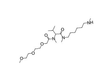 CNCCCCCCN(C)C(=O)C(C(C)C)N(C)C(=O)COCCOCCOC